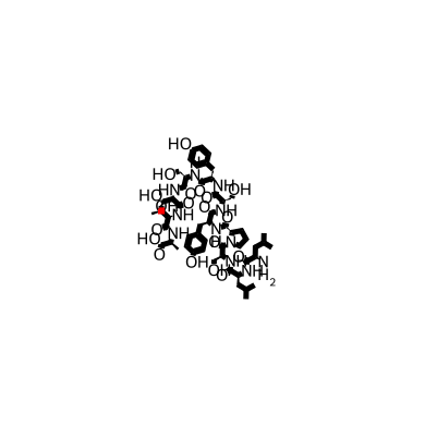 CC(C)C[C@H](NC(=O)[C@@H](N)CC(C)C)C(=O)N[C@@H](CO)C(=O)N1CCC[C@H]1C(=O)N[C@@H](Cc1ccc(O)cc1)C(=O)N[C@@H](CO)C(=O)N[C@@H](Cc1ccc(O)cc1)C(=O)N[C@@H](CO)C(=O)N[C@H](C(=O)N[C@H](C(=O)N[C@@H](C)C(=O)O)[C@@H](C)O)[C@@H](C)O